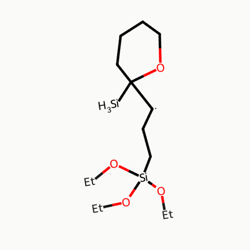 CCO[Si](CC[CH]C1([SiH3])CCCCO1)(OCC)OCC